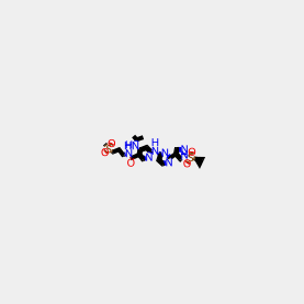 CC(C)Nc1cc(Nc2ccnc(-c3cnn(S(=O)(=O)C4CC4)c3)n2)ncc1C(=O)NCCCS(C)(=O)=O